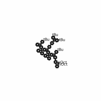 CCCCCCCCC1(CCCCCCCC)c2ccccc2-c2ccc(-c3ccc4c(c3)c3cc(C5(c6ccc7c(c6)c6cc(C8(c9ccc%10c(c9)c9ccccc9n%10-c9ccc(C(C)(C)C)cc9)c9ccccc9-c9ccccc98)ccc6n7-c6ccc(-c7ccc(-n8c9ccc(C(C)(C)C)cc9c9cc(C(C)(C)C)ccc98)cc7)cc6)c6ccccc6-c6ccccc65)ccc3n4-c3ccc(C(C)(C)C)cc3)cc21